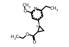 CCOC(=O)C1C[C@@H]1c1cc(CC)nc(OC)c1